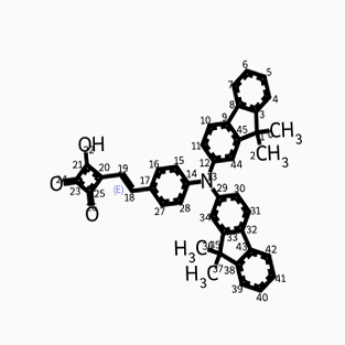 CC1(C)c2ccccc2-c2ccc(N(c3ccc(/C=C/c4c(O)c(=O)c4=O)cc3)c3ccc4c(c3)C(C)(C)c3ccccc3-4)cc21